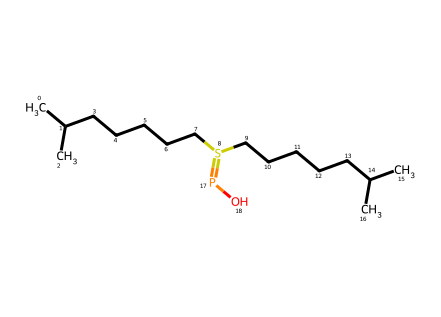 CC(C)CCCCCS(CCCCCC(C)C)=PO